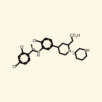 C[C@@H](Nc1cc(C2CCN([C@H]3CCCNC3)C(CC(=O)O)C2)ccc1Cl)c1ccc(Cl)cc1Cl